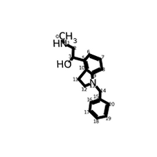 CNCC(O)c1cccc2c1CCN2Cc1ccccc1